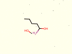 CCCCC(O)P.CO